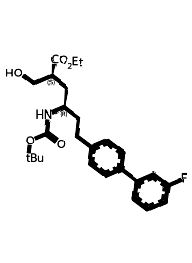 CCOC(=O)[C@H](CO)C[C@@H](CCc1ccc(-c2cccc(F)c2)cc1)NC(=O)OC(C)(C)C